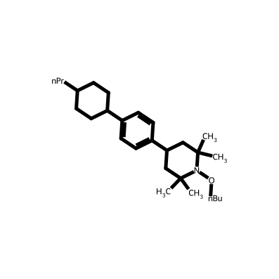 CCCCON1C(C)(C)CC(c2ccc(C3CCC(CCC)CC3)cc2)CC1(C)C